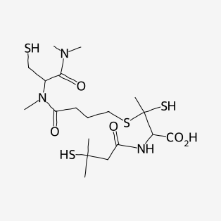 CN(C)C(=O)C(CS)N(C)C(=O)CCCSC(C)(S)C(NC(=O)CC(C)(C)S)C(=O)O